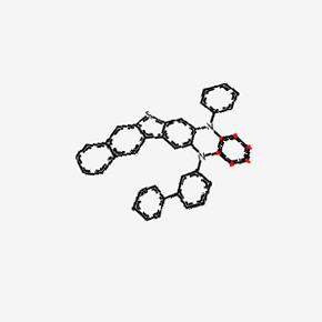 c1ccc(-c2cccc(N(c3ccccc3)c3cc4c(cc3N(c3ccccc3)c3ccccc3)sc3cc5ccccc5cc34)c2)cc1